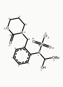 CC(C)COC(O)N(c1ccccc1CN1CCCOC1=O)S(=O)(=O)C(F)(F)F